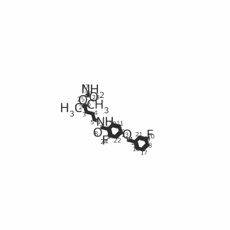 CC(C)(CCCNC(=O)c1ccc(OCc2cccc(F)c2)cc1F)OC(N)=O